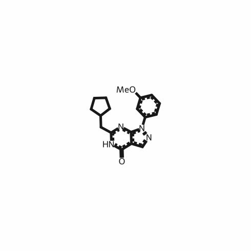 COc1cccc(-n2ncc3c(=O)[nH]c(CC4CCCC4)nc32)c1